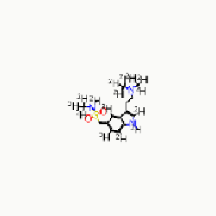 [2H]c1c(CS(=O)(=O)N([2H])C([2H])([2H])[2H])c([2H])c2c(CCN(C([2H])([2H])[2H])C([2H])([2H])[2H])c([2H])n([2H])c2c1[2H]